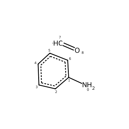 Nc1ccccc1.[CH]=O